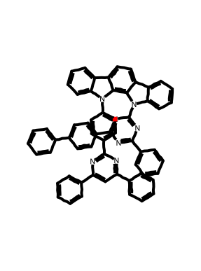 c1ccc(-c2ccc(-c3nc(-c4ccccc4)nc(-n4c5ccccc5c5ccc6c7ccccc7n(-c7ccc(-c8nc(-c9ccccc9)cc(-c9ccccc9)n8)cc7)c6c54)n3)cc2)cc1